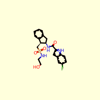 O=C(N[C@@H]1Cc2ccccc2[C@@H]1CS(=O)(=O)NCCO)c1cc2cc(F)ccc2[nH]1